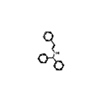 C(=Cc1ccccc1)NC(c1ccccc1)c1ccccc1